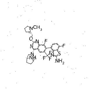 CN1CCC[C@H]1COc1nc(N2CC3CCC(C2)N3)c2cc(C(F)(F)F)c(-c3ccc(F)c4sc(N)nc34)c(F)c2n1